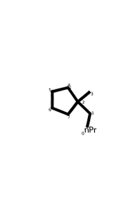 CCCCC1(C)[C]CCC1